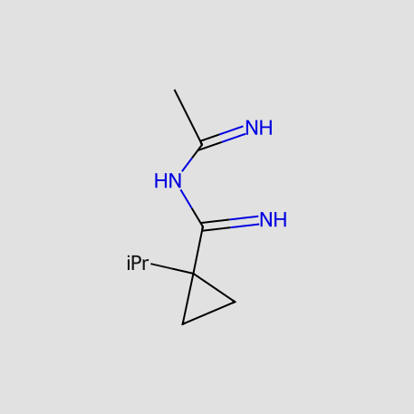 CC(=N)NC(=N)C1(C(C)C)CC1